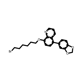 BrCCCCCCOc1ccc(-c2ccc3c(c2)OCO3)c2cccnc12